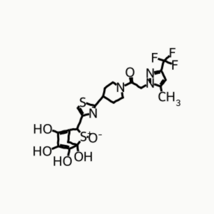 Cc1cc(C(F)(F)F)nn1CC(=O)N1CCC(c2nc(C3C4=C(O)C(O)=C(O)C(O)(C4)[S+]3[O-])cs2)CC1